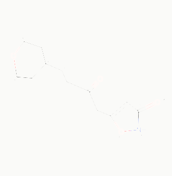 O=C(CCC1CCOCC1)Cc1cc(=O)[nH]o1